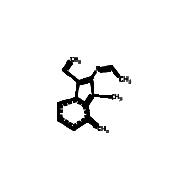 C=CC1=C(/N=C\C)C(C)=c2c1cccc2=C